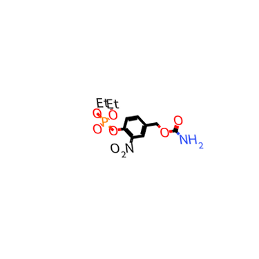 CCOP(=O)(OCC)Oc1ccc(COC(N)=O)cc1[N+](=O)[O-]